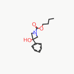 CCCCOC(=O)N1CC(O)(c2ccccc2)C1